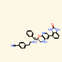 N#Cc1ccc(CCN[C@H](c2ccccc2)[C@@H]2CNc3cc(-c4cccc5[nH]c(=O)[nH]c45)cnc3O2)cc1